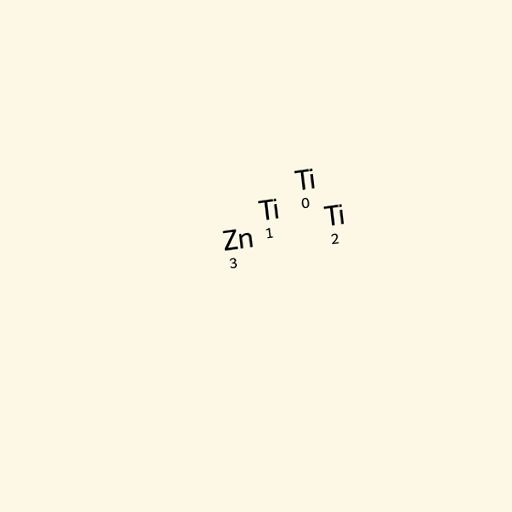 [Ti].[Ti].[Ti].[Zn]